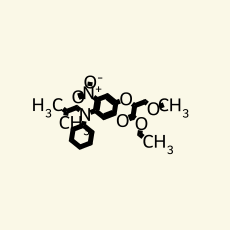 CCOC(=O)C(COC)Oc1ccc(N(CC(C)C)C2CCCCC2)c([N+](=O)[O-])c1